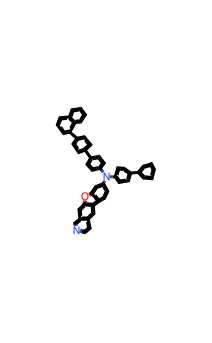 c1ccc(-c2ccc(N(c3ccc(-c4ccc(-c5cccc6ccccc56)cc4)cc3)c3ccc4c(c3)oc3cc5cnccc5cc34)cc2)cc1